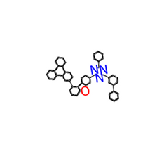 c1ccc(-c2cccc(-c3nc(-c4ccccc4)nc(-c4ccc5c(c4)oc4cccc(-c6ccc7c8ccccc8c8ccccc8c7c6)c45)n3)c2)cc1